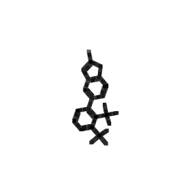 CC1=Cc2cc(-c3cccc(C(C)(C)C)c3C(C)(C)C)ccc2C1